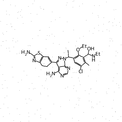 CCNC(O)c1c(C)c(Cl)cc(C(C)n2nc(C3=Cc4sc(N)nc4CC3)c3c(N)ncnc32)c1OCC